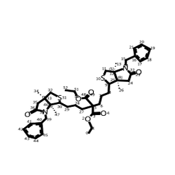 CCOC(=O)C(CCCC1SC[C@@]2(C)N(Cc3ccccc3)C(=O)C[C@@]12C)(CCCC1SC[C@]2(C)CC(=O)N(Cc3ccccc3)[C@]12C)C(=O)OCC